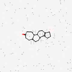 C[C@]12CC[C@H]3[C@@H](CC[C@@H]4CCC(=O)CC[C@@H]43)[C@@H]1CCC2=O